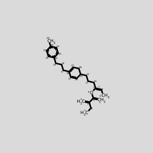 C=C(CC)C(=C)O/C(=C\C)CCCC1C=CC(CCCc2ccc(C)cc2)=CC1